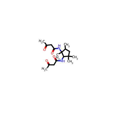 CC(=O)CC(=O)NC1C(C)(C)CC(C)C1(C)NC(=O)CC(C)=O